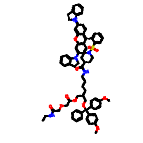 CCNC(=O)COCC(=O)OCC(CCCCNC(=O)C1CCN(S(=O)(=O)c2ccccc2-c2c3cc/c(=[N+]4/CCc5ccccc54)cc-3oc3cc(N4CCc5ccccc54)ccc23)CC1)COC(c1ccccc1)(c1ccc(OC)cc1)c1ccc(OC)cc1